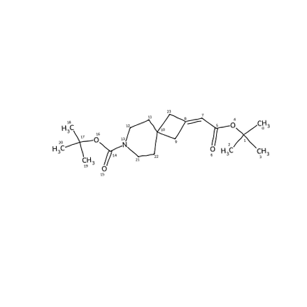 CC(C)(C)OC(=O)C=C1CC2(CCN(C(=O)OC(C)(C)C)CC2)C1